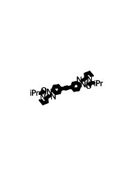 CC(C)C(=O)N1CCCC1c1nc2cc(C#Cc3ccc4[nH]c(C5CCCN5C(=O)C(C)C)nc4c3)ccc2[nH]1